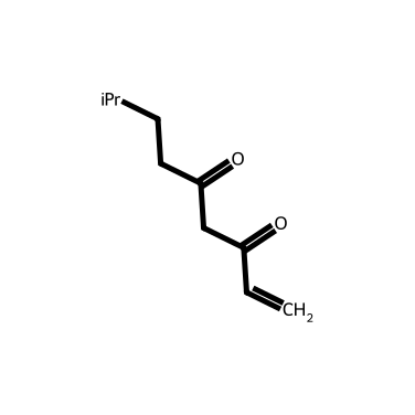 C=CC(=O)CC(=O)CCC(C)C